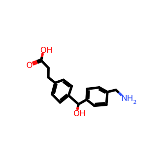 NCc1ccc(C(O)c2ccc(CCC(=O)O)cc2)cc1